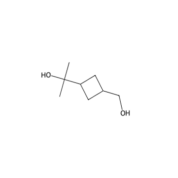 CC(C)(O)C1CC(CO)C1